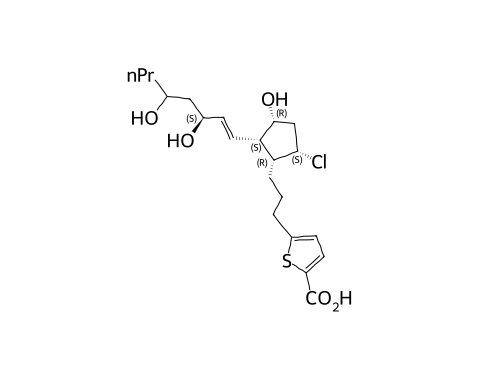 CCCC(O)C[C@H](O)C=C[C@H]1[C@@H](CCCc2ccc(C(=O)O)s2)[C@@H](Cl)C[C@H]1O